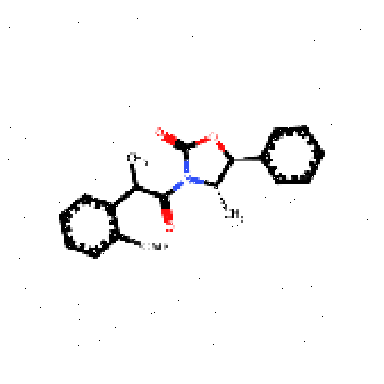 COc1ccccc1C(C)C(=O)N1C(=O)O[C@@H](c2ccccc2)[C@@H]1C